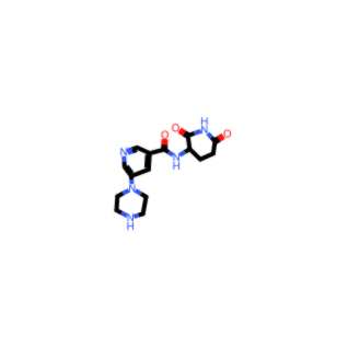 O=C1CCC(NC(=O)c2cncc(N3CCNCC3)c2)C(=O)N1